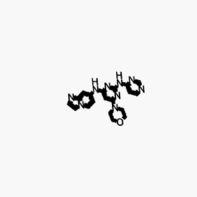 c1cc(Nc2nc(Nc3ccn4ccnc4c3)cc(N3CCOCC3)n2)ncn1